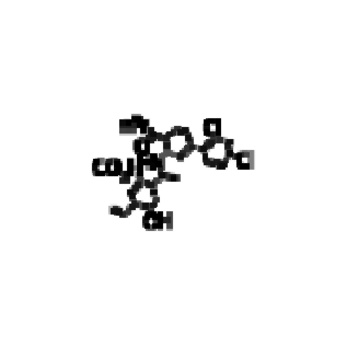 C=Cc1cc(C(=O)O)c(C(=C)Nc2cc(-c3ccc(Cl)cc3Cl)ccc2C(=O)CCC)cc1O